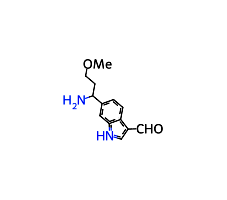 COCCC(N)c1ccc2c(C=O)c[nH]c2c1